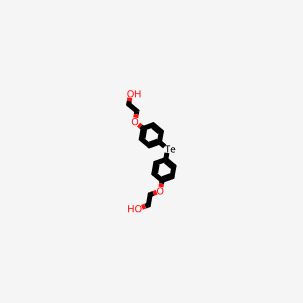 OCCOc1ccc([Te]c2ccc(OCCO)cc2)cc1